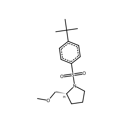 COC[C@H]1CCCN1S(=O)(=O)c1ccc(C(C)(C)C)cc1